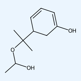 CC(O)OC(C)(C)C1C=CC=C(O)C1